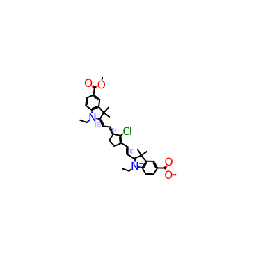 CCN1/C(=C/C=C2\CCC(/C=C/C3=[N+](CC)c4ccc(C(=O)OC)cc4C3(C)C)=C2Cl)C(C)(C)c2cc(C(=O)OC)ccc21